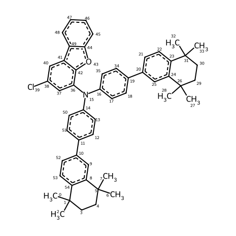 CC1(C)CCC(C)(C)c2cc(-c3ccc(N(c4ccc(-c5ccc6c(c5)C(C)(C)CCC6(C)C)cc4)c4cc(Cl)cc5c4oc4ccccc45)cc3)ccc21